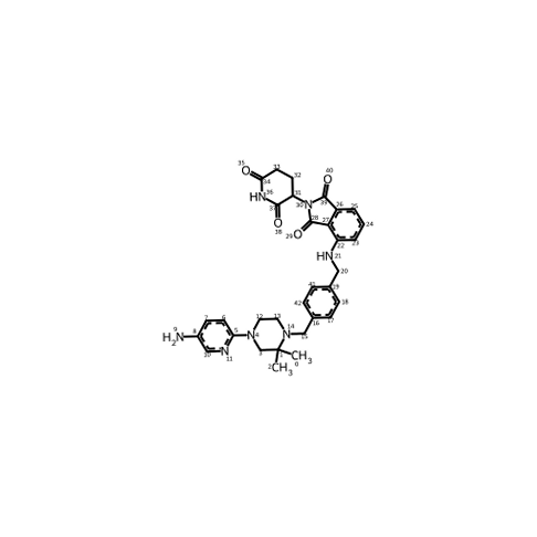 CC1(C)CN(c2ccc(N)cn2)CCN1Cc1ccc(CNc2cccc3c2C(=O)N(C2CCC(=O)NC2=O)C3=O)cc1